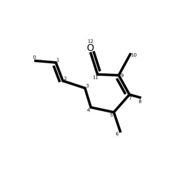 CC=CCCC(C)C(C)=C(C)C=O